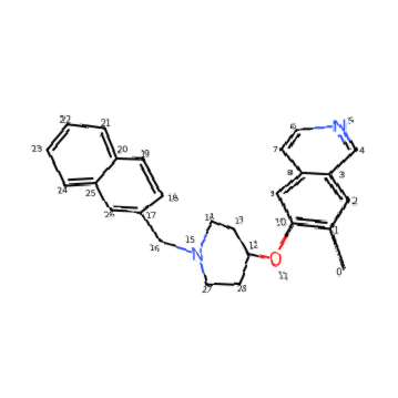 Cc1cc2cnccc2cc1OC1CCN(Cc2ccc3ccccc3c2)CC1